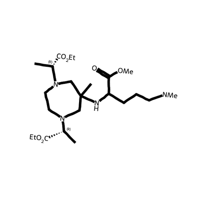 CCOC(=O)[C@@H](C)N1CCN([C@H](C)C(=O)OCC)CC(C)(NC(CCCNC)C(=O)OC)C1